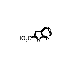 O=C(O)C1=Nc2ncncc2C1